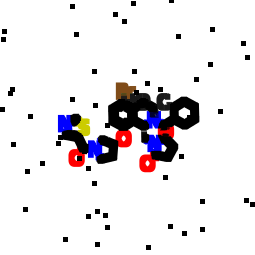 O=C(O)[C@@H]1CCCCC1C(=O)N1CCc2c(Br)ccc(O[C@H]3CCN(C(=O)c4cncs4)C3)c2[C@H]1CN1CCCC1=O